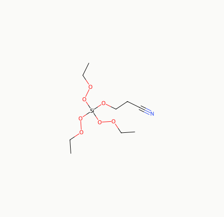 CCOO[Si](OCCC#N)(OOCC)OOCC